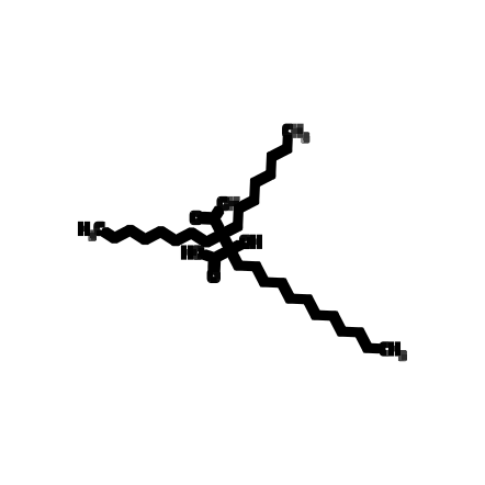 CCCCCCCCCCCCC(O)(C(=O)O)C(CCCCCCCC)(CCCCCCCC)C(=O)O